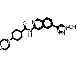 Cn1cc(-c2ccc3cnc(NC(=O)C4CCC(N5CCOCC5)CC4)cc3c2)nn1